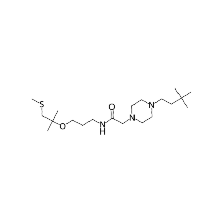 CSCC(C)(C)OCCCNC(=O)CN1CCN(CCC(C)(C)C)CC1